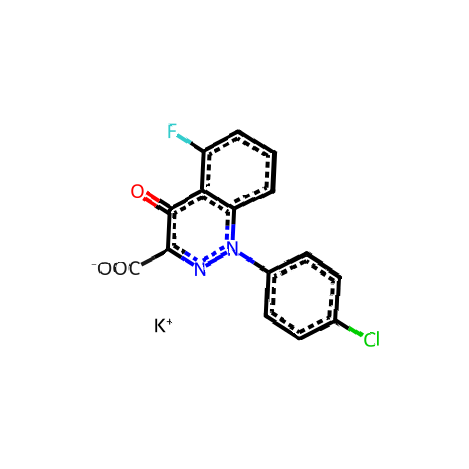 O=C([O-])c1nn(-c2ccc(Cl)cc2)c2cccc(F)c2c1=O.[K+]